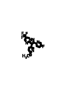 COc1ccc(-c2c(-c3ccc(F)cn3)nn3cc(C(F)(F)F)cnc23)cn1